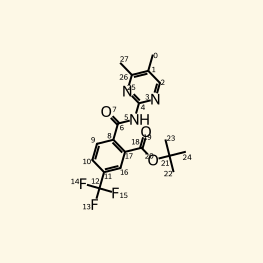 Cc1cnc(NC(=O)c2ccc(C(F)(F)F)cc2C(=O)OC(C)(C)C)nc1C